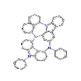 c1ccc(N2c3cc(c4c(c3)c3ccccc3n4-c3ccccc3)N(c3ccccc3)c3cccc4c3c3c2cccc3n4-c2ccccc2)cc1